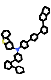 C1=CCCC(c2ccccc2-c2cccc(N(c3ccc(-c4ccc(-c5cccc(-c6ccc7ccccc7c6)c5)cc4)cc3)c3ccc4sc5ccccc5c4c3)c2)=C1